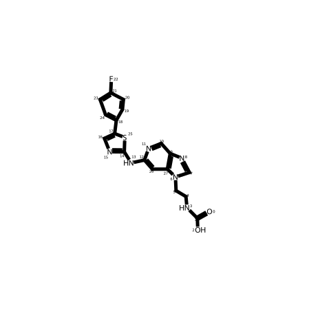 O=C(O)NCCn1cnc2cnc(Nc3ncc(-c4ccc(F)cc4)s3)cc21